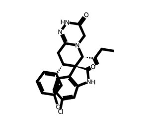 C=C(CC)[C@H]1N2CC(=O)NN=C2C[C@@H](c2cccc(Cl)c2)[C@]12C(=O)Nc1cc(Cl)ccc12